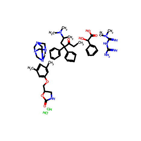 C1N2CN3CN1CN(C2)C3.CCC(=O)C(CC(C)N(C)C)(c1ccccc1)c1ccccc1.CN(C)C(=N)NC(=N)N.Cc1cc(C)cc(OCC2CNC(=O)O2)c1.Cl.Cl.O=C(O)C(O)c1ccccc1